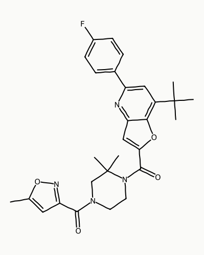 Cc1cc(C(=O)N2CCN(C(=O)c3cc4nc(-c5ccc(F)cc5)cc(C(C)(C)C)c4o3)C(C)(C)C2)no1